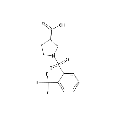 O=C(O)[C@@H]1CCN(S(=O)(=O)c2ccccc2C(F)(F)F)C1